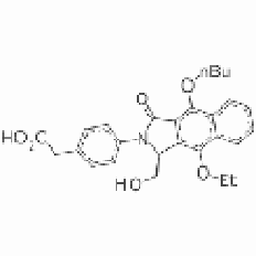 CCCCOc1c2c(c(OCC)c3ccccc13)[C@@H](CO)N(c1ccc(CC(=O)O)cc1)C2=O